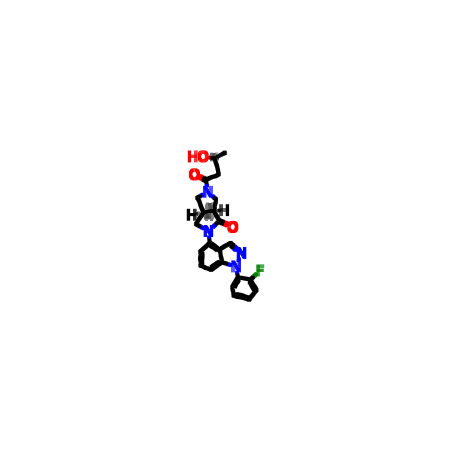 C[C@H](O)CC(=O)N1C[C@@H]2CN(c3cccc4c3cnn4-c3ccccc3F)C(=O)[C@@H]2C1